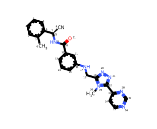 Cc1ccccc1[C@@H](C#N)NC(=O)c1cccc(NCc2nnc(-c3ccncn3)n2C)c1